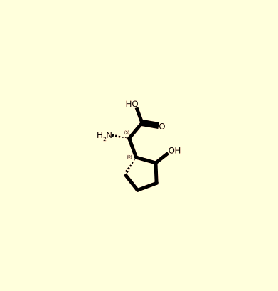 N[C@H](C(=O)O)[C@H]1CCCC1O